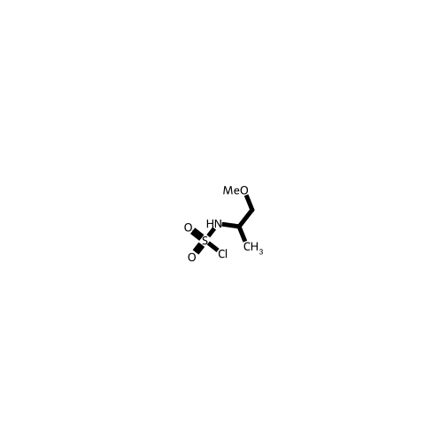 COCC(C)NS(=O)(=O)Cl